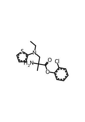 CCN(CC(C)(N)C(=O)Oc1ccccc1Cl)c1cccs1